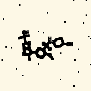 COc1ccc(-c2c(C)nc3sc(C(C)(C)O)nn23)cc1S(=O)(=O)N[C@H]1CC[C@H](O)CC1